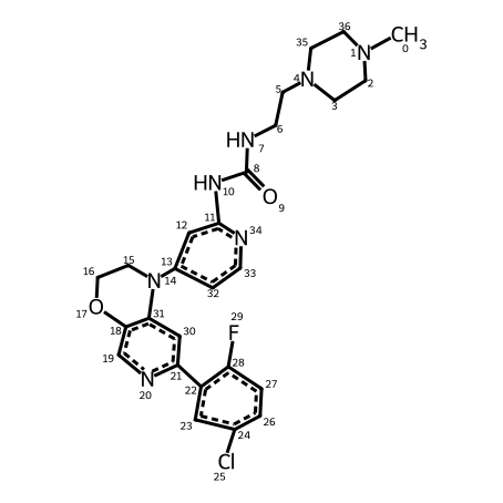 CN1CCN(CCNC(=O)Nc2cc(N3CCOc4cnc(-c5cc(Cl)ccc5F)cc43)ccn2)CC1